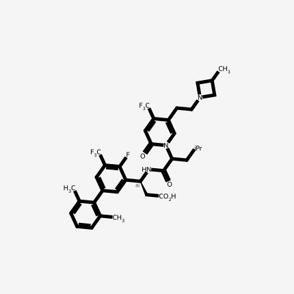 Cc1cccc(C)c1-c1cc([C@H](CC(=O)O)NC(=O)C(CC(C)C)n2cc(CCN3CC(C)C3)c(C(F)(F)F)cc2=O)c(F)c(C(F)(F)F)c1